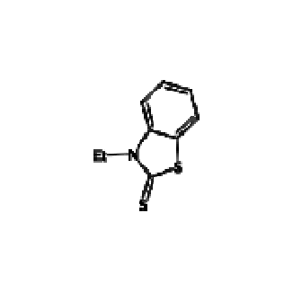 CCn1c(=S)sc2ccccc21